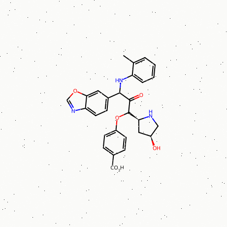 Cc1ccccc1NC(C(=O)C(Oc1ccc(C(=O)O)cc1)[C@@H]1C[C@H](O)CN1)c1ccc2ncoc2c1